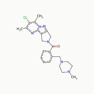 Cc1nc2c3c(nn2c(C)c1Cl)CN(C(=O)c1ccccc1CN1CCN(C)CC1)C3